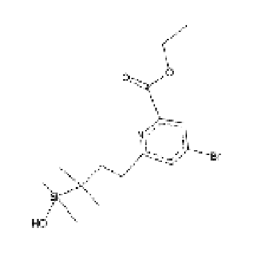 CCOC(=O)c1cc(Br)cc(CCC(C)(C)[Si](C)(C)O)n1